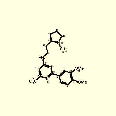 COc1ccc(-c2nc(NCCC3CCCN3C)nc(C(Cl)(Cl)Cl)n2)cc1OC